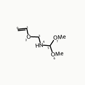 C=COCNC(OC)OC